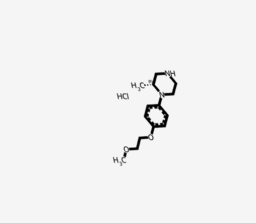 COCCOc1ccc(N2CCNC[C@H]2C)cc1.Cl